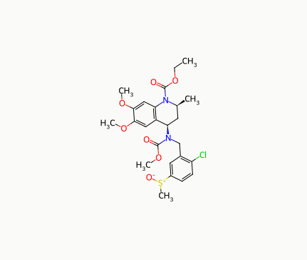 CCOC(=O)N1c2cc(OC)c(OC)cc2[C@H](N(Cc2cc([S+](C)[O-])ccc2Cl)C(=O)OC)C[C@@H]1C